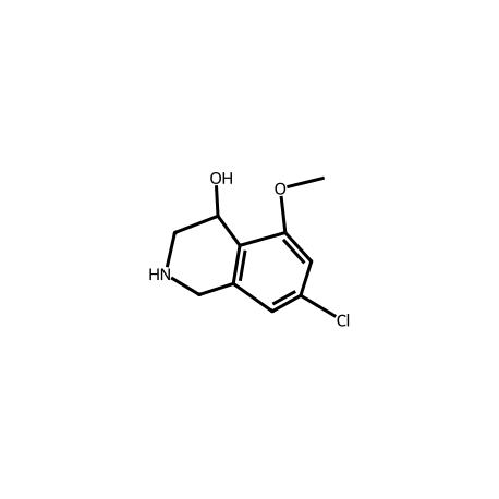 COc1cc(Cl)cc2c1C(O)CNC2